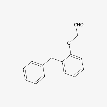 O=CCOc1ccccc1Cc1ccccc1